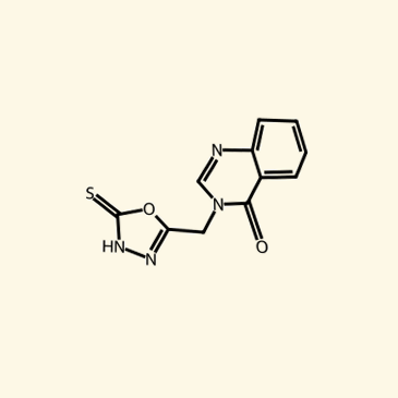 O=c1c2ccccc2ncn1Cc1n[nH]c(=S)o1